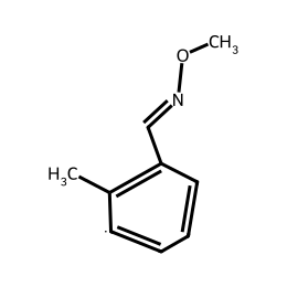 CO/N=C/c1ccc[c]c1C